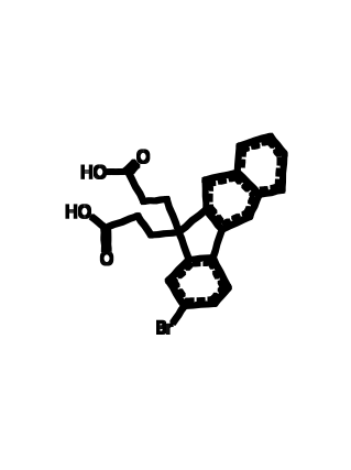 O=C(O)CCC1(CCC(=O)O)c2cc(Br)ccc2-c2cc3ccccc3cc21